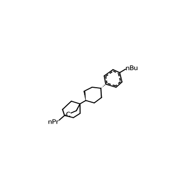 CCCCc1ccc([C@H]2CC[C@H](C34CCC(CCC)(CC3)CC4)CC2)cc1